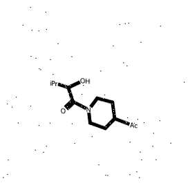 CC(=O)C1CCN(C(=O)C(O)C(C)C)CC1